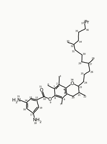 Cc1c(C)c2c(c(C)c1OC(=O)c1cc(N)cc(N)c1)CC(C)C(CCCC(C)CCCC(C)CCCC(C)C)O2